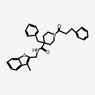 Cc1c(CNC(=O)C2(Cc3ccccc3)CCN(C(=O)CCc3ccccc3)CC2)sc2ccccc12